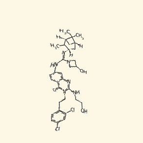 CC1[C@@H](/N=C(/Nc2ccc3c(=O)n(CCc4ccc(Cl)cc4Cl)c(NCCO)nc3c2)N2CC(O)C2)C[C@@H]2C[C@H]1C2(C)C